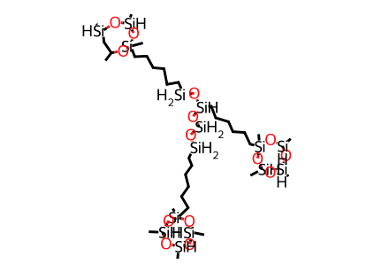 CC1C[SiH](C)O[SiH](C)O[Si](C)(CCCCCC[SiH2]O[SiH](CCCCCC[Si]2(C)O[SiH](C)O[SiH](C)O[SiH](C)O2)O[SiH2]O[SiH2]CCCCCC[Si]2(C)O[SiH](C)O[SiH](C)O[SiH](C)O2)O1